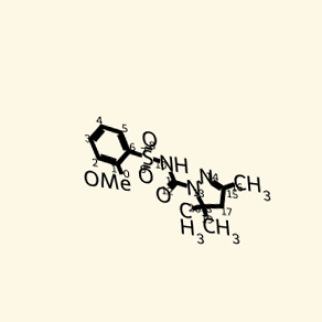 COc1ccccc1S(=O)(=O)NC(=O)N1N=C(C)CC1(C)C